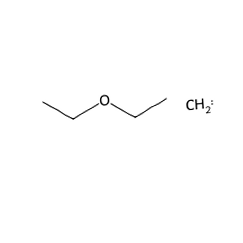 CCOCC.[CH2]